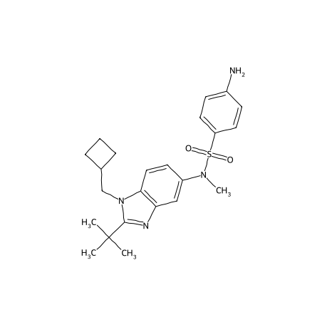 CN(c1ccc2c(c1)nc(C(C)(C)C)n2CC1CCC1)S(=O)(=O)c1ccc(N)cc1